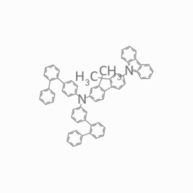 CC1(C)c2cc(N(c3ccc(-c4ccccc4-c4ccccc4)cc3)c3cccc(-c4ccccc4-c4ccccc4)c3)ccc2-c2ccc(-n3c4ccccc4c4ccccc43)cc21